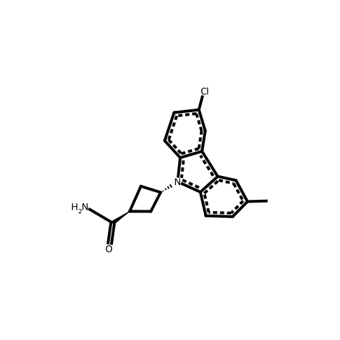 Cc1ccc2c(c1)c1cc(Cl)ccc1n2[C@H]1C[C@H](C(N)=O)C1